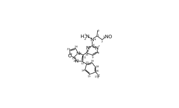 CC(CN=O)N(N)c1nccc(-c2c(-c3ccc(F)cc3)nc3occn23)n1